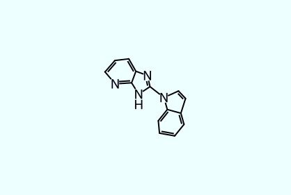 c1ccc2c(c1)ccn2-c1nc2cccnc2[nH]1